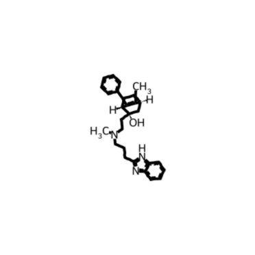 CC1=C(c2ccccc2)[C@H]2CC[C@H]1C[C@@]2(O)CCN(C)CCCc1nc2ccccc2[nH]1